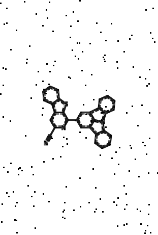 N#Cc1cc2c(sc3ccccc32)c(-c2cc3c4ccccc4n4c5ccccc5c(c2)c34)n1